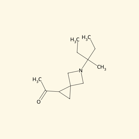 CCC(C)(CC)N1CC2(CC2C(C)=O)C1